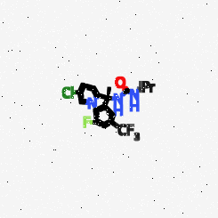 CC(C)NC(=O)N[C@](C)(c1cc(F)cc(C(F)(F)F)c1)c1ccc(Cl)cn1